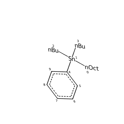 CCCCCCC[CH2][Sn]([CH2]CCC)([CH2]CCC)[c]1ccccc1